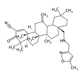 C=C1C[C@@H]2[C@@]3(C)C=C(C#N)C(=O)C(C)(C)[C@@H]3CC[C@@]2(C)[C@]2(C)CC[C@@]3(CNCc4cc(C)on4)CCC(C)(C)CC3C12